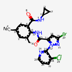 Cc1cc(C#N)cc(C(=O)NC2CC2)c1NC(=O)c1cc(Br)nn1-c1ncccc1Cl